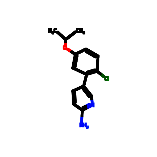 CC(C)Oc1ccc(Cl)c(-c2ccc(N)nc2)c1